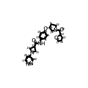 O=C(Nc1ccc(O[C@@H]2CCN(C(=O)C3CCCO3)C2)cc1)C1CN(c2ccnnc2)C1